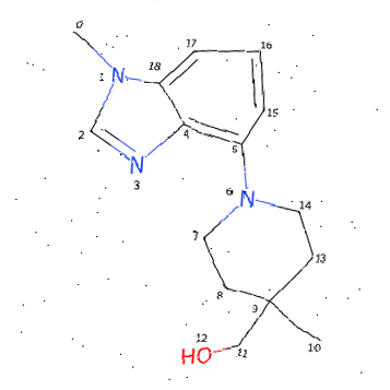 Cn1cnc2c(N3CCC(C)(CO)CC3)cccc21